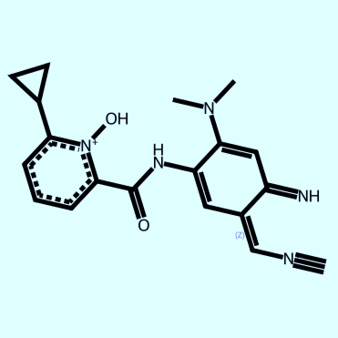 C#[N+]/C=C1/C=C(NC(=O)c2cccc(C3CC3)[n+]2O)C(N(C)C)=CC1=N